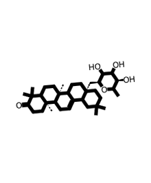 CC1O[C@@H](C[C@@]23CCC4C(=CCC5[C@@]4(C)CCC4C(C)(C)C(=O)CC[C@@]45C)C2CC(C)(C)CC3)C(O)C(O)[C@H]1O